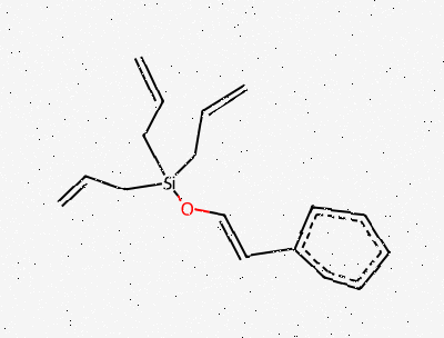 C=CC[Si](CC=C)(CC=C)OC=Cc1ccccc1